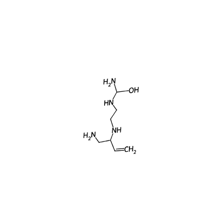 C=CC(CN)NCCNC(N)O